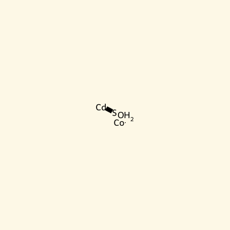 O.[Co].[S]=[Cd]